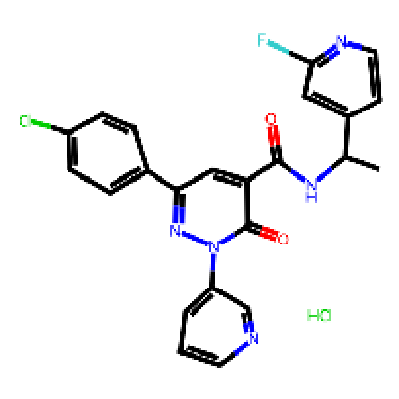 CC(NC(=O)c1cc(-c2ccc(Cl)cc2)nn(-c2cccnc2)c1=O)c1ccnc(F)c1.Cl